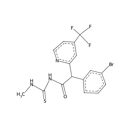 CNC(=S)NC(=O)C(c1cccc(Br)c1)c1cc(C(F)(F)F)ccn1